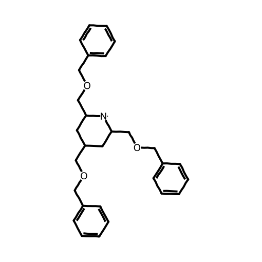 c1ccc(COCC2CC(COCc3ccccc3)[N]C(COCc3ccccc3)C2)cc1